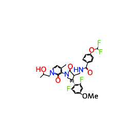 COc1cc(F)c([C@@H]2CN(c3c(C)ccn(CC(C)O)c3=O)C(=O)C2CNC(=O)c2ccc(OC(F)F)cc2)c(F)c1